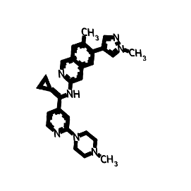 Cc1cc2cnc(NC(=C3CC3)c3ccnc(N4CCN(C)CC4)c3)cc2cc1-c1cnn(C)c1